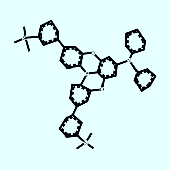 C[Si](C)(C)c1cccc(-c2ccc3c(c2)Oc2cc(N(c4ccccc4)c4ccccc4)cc4c2B3c2ccc(-c3cccc([Si](C)(C)C)c3)cc2O4)c1